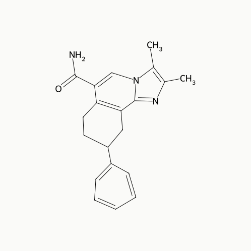 Cc1nc2c3c(c(C(N)=O)cn2c1C)CCC(c1ccccc1)C3